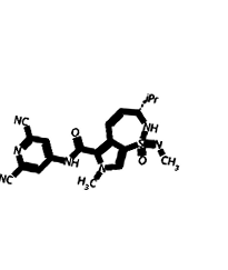 CN=S1(=O)N[C@@H](C(C)C)C=Cc2c1cn(C)c2C(=O)Nc1cc(C#N)nc(C#N)c1